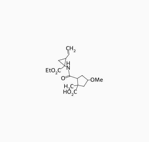 C=CC1CC1(NC(=O)C1CC(OC)CC1(C)C(=O)O)C(=O)OCC